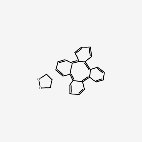 C1COOC1.c1ccc2c(c1)=c1ccccc1=c1ccccc1=c1ccccc1=2